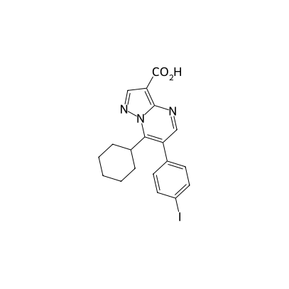 O=C(O)c1cnn2c(C3CCCCC3)c(-c3ccc(I)cc3)cnc12